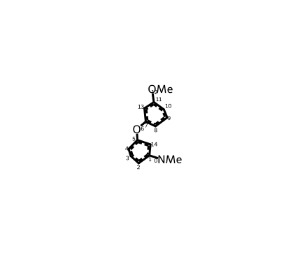 CNc1cccc(Oc2cccc(OC)c2)c1